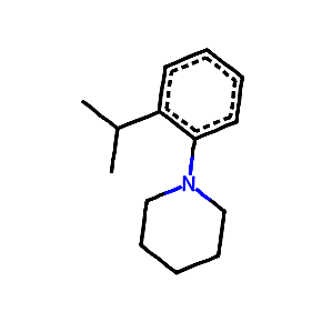 CC(C)c1ccccc1N1CCCCC1